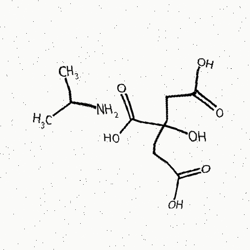 CC(C)N.O=C(O)CC(O)(CC(=O)O)C(=O)O